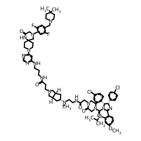 COc1ccc(C2=N[C@@H](c3ccc(Cl)cc3)[C@@H](c3ccc(Cl)cc3)N2C(=O)N2CCN(CC(=O)NCCN(C)[C@@H]3C[C@@H]4CN(CCC(=O)NCCCNc5cc(N6CCC7(CC6)CN(c6cc(F)c(CN8CCC(C)(C)CC8)cc6F)CC(=O)N7)ncn5)C[C@@H]4C3)C(=O)C2)c(OC(C)C)c1